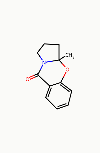 CC12CCCN1C(=O)c1ccccc1O2